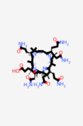 C/C1=C2/[N]([Co])[C@H]([C@H](CC(N)=O)[C@@]2(C)CCC(=O)O)[C@]2(C)N=C(/C(C)=C3N=C(/C=C4N=C1[C@@H](CCC(N)=O)C\4(C)C)[C@@H](CCC(N)=O)[C@]\3(C)CC(N)=O)[C@@H](CCC(N)=O)[C@]2(C)CC(N)=O